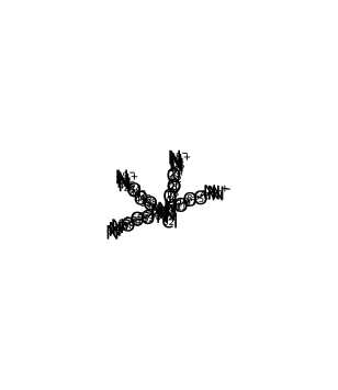 [N-]=[N+]=NCCOCCOCCOCCN(CCOCCOCCOCCN=[N+]=[N-])c1nc(Cl)nc(N(CCOCCOCCOCCN=[N+]=[N-])CCOCCOCCOCCN=[N+]=[N-])n1